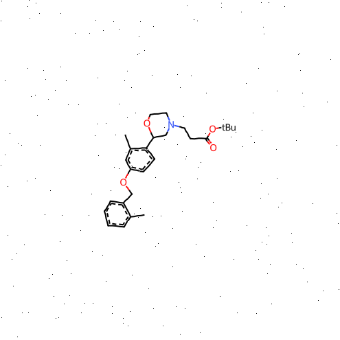 Cc1ccccc1COc1ccc(C2CN(CCC(=O)OC(C)(C)C)CCO2)c(C)c1